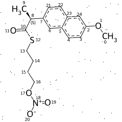 COc1ccc2cc([C@H](C)C(=O)SCCCCO[N+](=O)[O-])ccc2c1